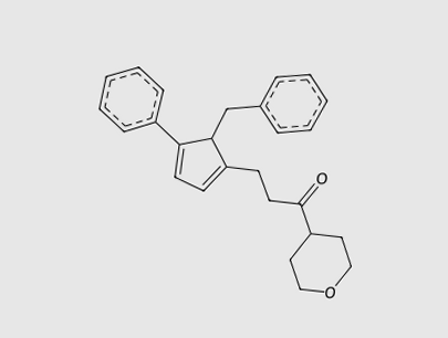 O=C(CCC1=CC=C(c2ccccc2)C1Cc1ccccc1)C1CCOCC1